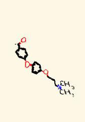 CN(C)CCCOc1ccc(Oc2ccc([C]=O)cc2)cc1